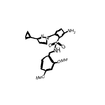 COc1ccc(CNS(=O)(=O)c2cc(N)ccc2-n2ccc(C3CC3)n2)c(OC)c1